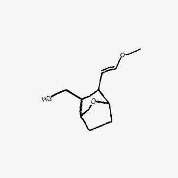 COC=CC1C2CCC(O2)C1CO